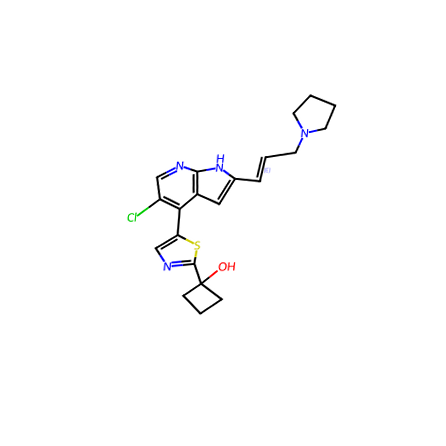 OC1(c2ncc(-c3c(Cl)cnc4[nH]c(/C=C/CN5CCCC5)cc34)s2)CCC1